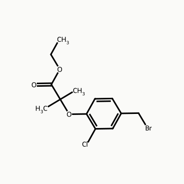 CCOC(=O)C(C)(C)Oc1ccc(CBr)cc1Cl